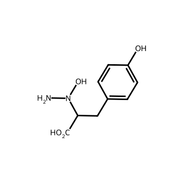 NN(O)C(Cc1ccc(O)cc1)C(=O)O